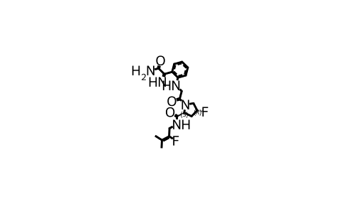 CC(C)=C(F)CNC(=O)[C@@H]1C[C@@H](F)CN1C(=O)CNc1ccccc1C(=N)C(N)=O